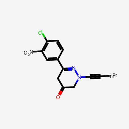 CCCC#CN1CC(=O)CC(c2ccc(Cl)c([N+](=O)[O-])c2)=N1